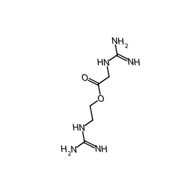 N=C(N)NCCOC(=O)CNC(=N)N